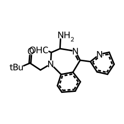 CC(C)(C)C(=O)CN1c2ccccc2C(c2ccccn2)=NC(N)C1C=O